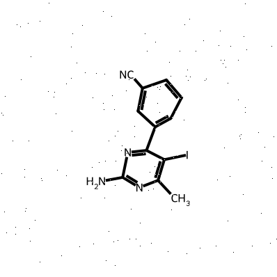 Cc1nc(N)nc(-c2cccc(C#N)c2)c1I